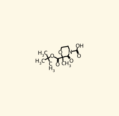 CC(C)(C)OC(=O)C1(C)OCCN(C(=O)O)C1=O